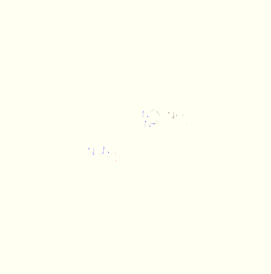 Cc1c([N+](=O)[O-])cnn1C1CC2C(C1)C2C(=O)/N=C/N(C)C